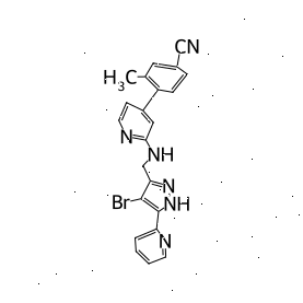 Cc1cc(C#N)ccc1-c1ccnc(NCc2n[nH]c(-c3ccccn3)c2Br)c1